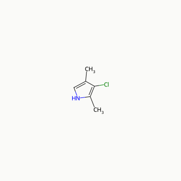 Cc1c[nH]c(C)c1Cl